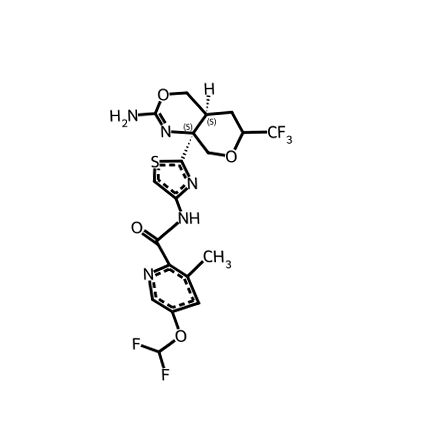 Cc1cc(OC(F)F)cnc1C(=O)Nc1csc([C@@]23COC(C(F)(F)F)C[C@@H]2COC(N)=N3)n1